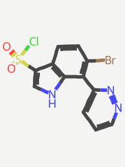 O=S(=O)(Cl)c1c[nH]c2c(-c3cccnn3)c(Br)ccc12